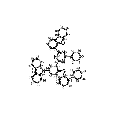 c1ccc(-c2nc(-c3cccc4c3oc3ccccc34)nc(-c3cc(-n4c5ccccc5c5ccccc54)cc4c3sc3c(-c5ccccc5)cccc34)n2)cc1